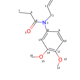 C=CCN(C(=O)CC)c1ccc(OC)c(OC)c1